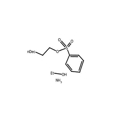 CCCCCCCCCCCCOS(=O)(=O)c1ccccc1.CCO.N